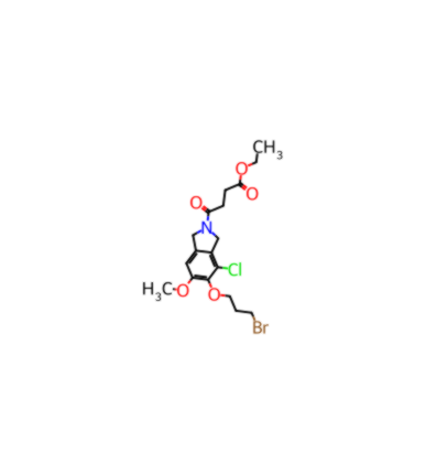 CCOC(=O)CCC(=O)N1Cc2cc(OC)c(OCCCBr)c(Cl)c2C1